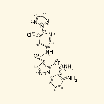 NSc1c(N)cccc1-n1ncc(C(=O)Nc2cnc(-n3nccn3)c(Cl)c2)c1C(F)(F)F